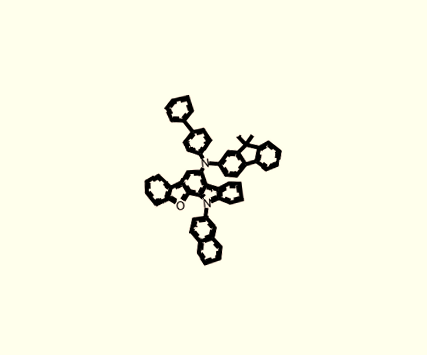 CC1(C)c2ccccc2-c2ccc(N(c3ccc(-c4ccccc4)cc3)c3cc4c5ccccc5oc4c4c3c3ccccc3n4-c3ccc4ccccc4c3)cc21